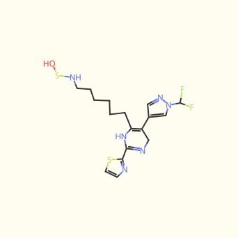 OSNCCCCCCC1=C(c2cnn(C(F)F)c2)CN=C(c2nccs2)N1